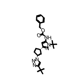 CC(C)(C)c1cn([C@@H]2CC[C@H](c3cc(NC(=O)OCc4ccccc4)n(C(C)(C)C)n3)C2)nn1